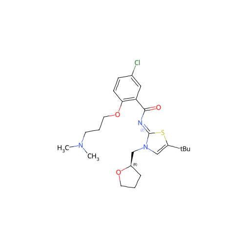 CN(C)CCCOc1ccc(Cl)cc1C(=O)/N=c1\sc(C(C)(C)C)cn1C[C@H]1CCCO1